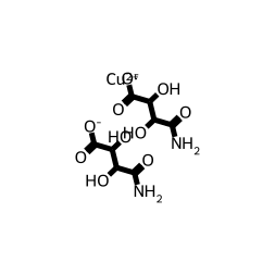 NC(=O)C(O)C(O)C(=O)[O-].NC(=O)C(O)C(O)C(=O)[O-].[Cu+2]